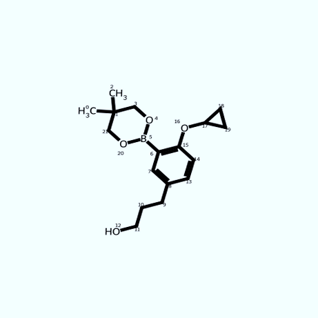 CC1(C)COB(c2cc(CCCO)ccc2OC2CC2)OC1